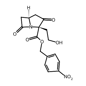 O=C1C[C@H]2CC(=O)[C@](CCO)(C(=O)OCc3ccc([N+](=O)[O-])cc3)N12